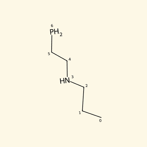 CCCNCCP